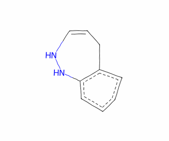 C1=CNNc2ccccc2C1